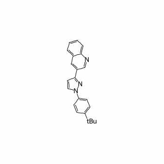 CC(C)(C)c1ccc(-n2ccc(-c3cnc4ccccc4c3)n2)cc1